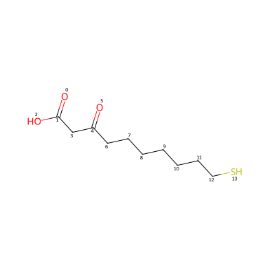 O=C(O)CC(=O)CCCCCCCS